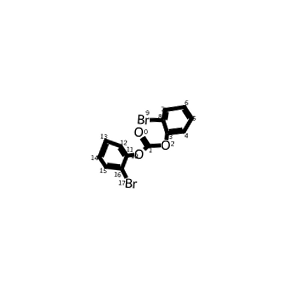 O=C(Oc1ccccc1Br)Oc1ccccc1Br